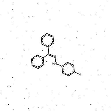 Fc1ccc(NN=C(c2ccccc2)c2ccccc2)cc1